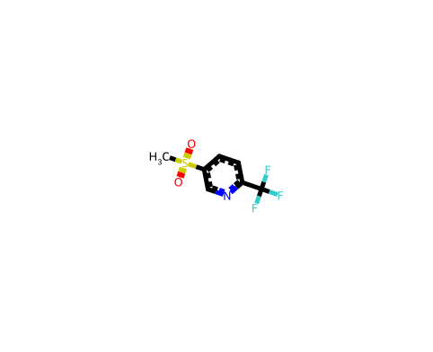 CS(=O)(=O)c1ccc(C(F)(F)F)nc1